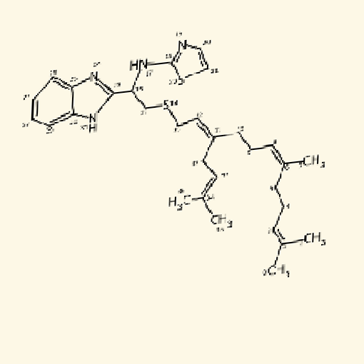 CC(C)=CCCC(C)=CCCC(=CCSCC(Nc1nccs1)c1nc2ccccc2[nH]1)CC=C(C)C